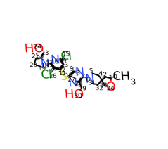 C[C@H]1CC2(CCN(c3ncc(Sc4cc(Cl)nc(N5CCCC5CO)c4Cl)nc3CO)CC2)CO1